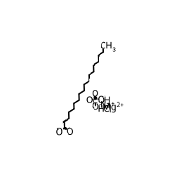 CCCCCCCCCCCCCCCCCC(=O)[O-].Cl.O=P([O-])([O-])O.[Mg+2].[Na+]